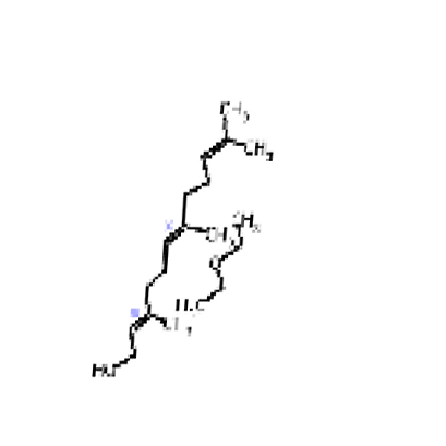 CC(C)=CCC/C(C)=C/CC/C(C)=C/CO.CCOCC